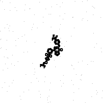 O=C(NCc1ccc(C(F)(F)F)cc1)[C@H]1CCCN1C(=O)[C@H]1CCCN(S(=O)(=O)N2CC(OCC(F)F)C2)C1